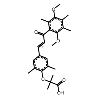 COc1c(C)c(C)c(OC)c(C(=O)/C=C/c2cc(C)c(OC(C)(C)C(=O)O)c(C)c2)c1C